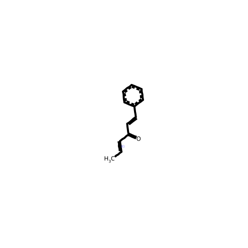 C/C=C/C(=O)C=Cc1ccccc1